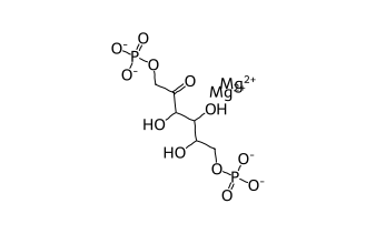 O=C(COP(=O)([O-])[O-])C(O)C(O)C(O)COP(=O)([O-])[O-].[Mg+2].[Mg+2]